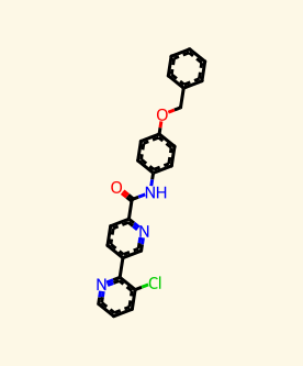 O=C(Nc1ccc(OCc2ccccc2)cc1)c1ccc(-c2ncccc2Cl)cn1